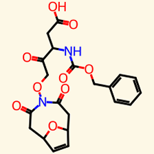 O=C(O)CC(NC(=O)OCc1ccccc1)C(=O)CON1C(=O)CC2C=CC(CC1=O)O2